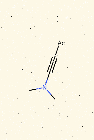 CC(=O)C#CN(C)C